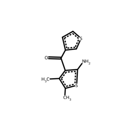 Cc1sc(N)c(C(=O)c2ccsc2)c1C